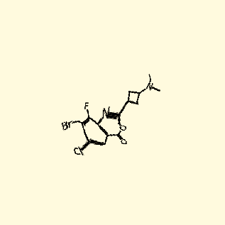 CN(C)C1CC(c2nc3c(F)c(Br)c(Cl)cc3c(=O)o2)C1